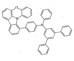 c1ccc(-c2cc(-c3ccccc3)cc(N(c3ccccc3)c3ccc(-c4cccc5c6cccc7c6n(c45)-c4ccccc4O7)cc3)c2)cc1